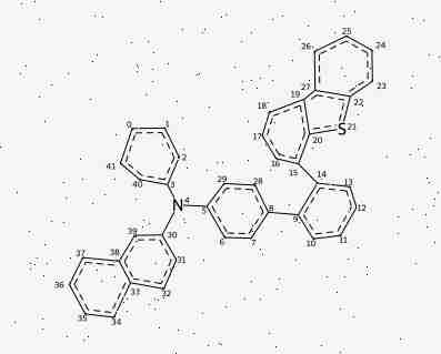 c1ccc(N(c2ccc(-c3ccccc3-c3cccc4c3sc3ccccc34)cc2)c2ccc3ccccc3c2)cc1